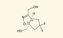 OCC1=NO[C@]2(CO)CC(F)(F)C[C@H]12